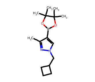 Cc1nn(CC2CCC2)cc1B1OC(C)(C)C(C)(C)O1